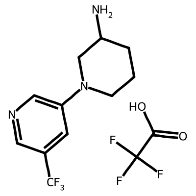 NC1CCCN(c2cncc(C(F)(F)F)c2)C1.O=C(O)C(F)(F)F